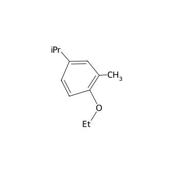 CCOc1ccc(C(C)C)cc1C